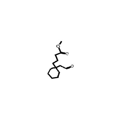 COC(=O)CCCC1(CC=O)CCCCC1